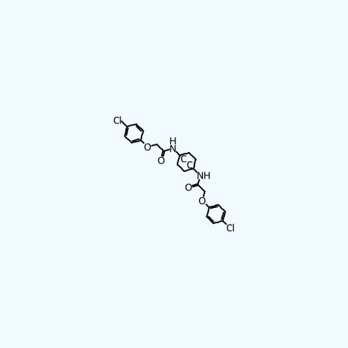 O=C(COc1ccc(Cl)cc1)NC12CCC(NC(=O)COc3ccc(Cl)cc3)(CC1)CC2